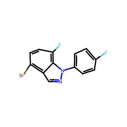 Fc1ccc(-n2ncc3c(Br)ccc(F)c32)cc1